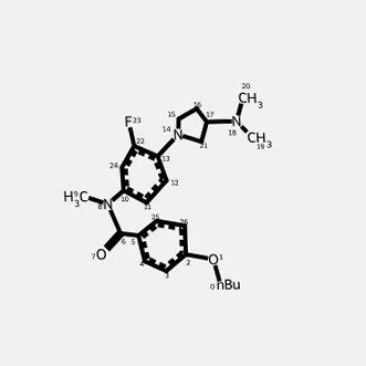 CCCCOc1ccc(C(=O)N(C)c2ccc(N3CCC(N(C)C)C3)c(F)c2)cc1